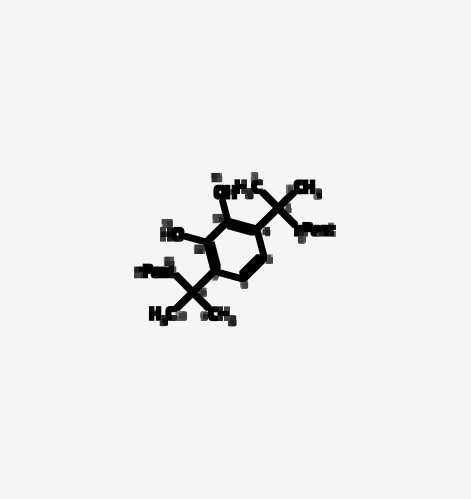 CCCCCC(C)(C)c1ccc(C(C)(C)CCCCC)c(O)c1O